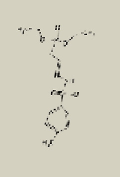 CCOP(=O)(CC=NNS(=O)(=O)c1ccc(C)cc1)OCC